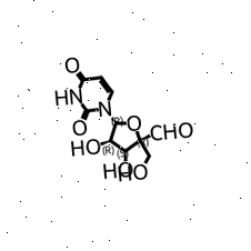 O=C[C@]1(CO)O[C@@H](n2ccc(=O)[nH]c2=O)[C@H](O)[C@@H]1O